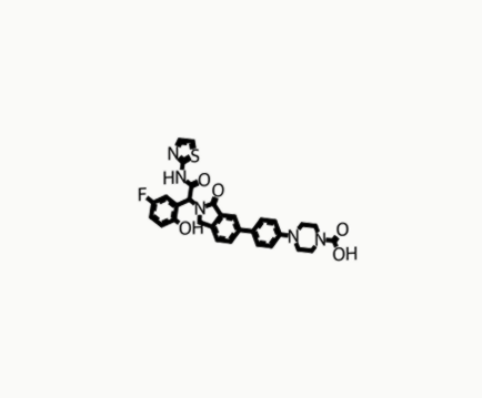 O=C(Nc1nccs1)C(c1cc(F)ccc1O)N1Cc2ccc(-c3ccc(N4CCN(C(=O)O)CC4)cc3)cc2C1=O